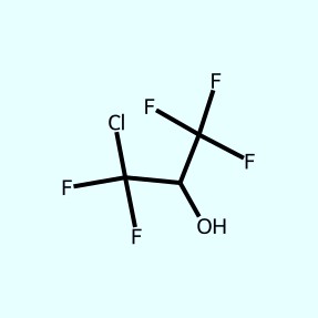 OC(C(F)(F)F)C(F)(F)Cl